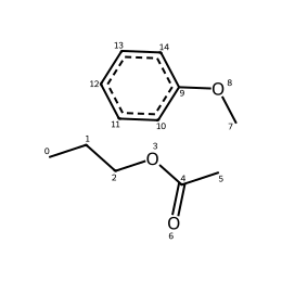 CCCOC(C)=O.COc1ccccc1